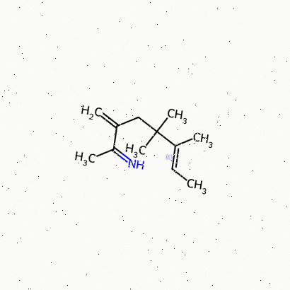 C=C(CC(C)(C)/C(C)=C/C)C(C)=N